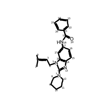 CC(C)=CCn1c(N2C[CH]CCC2)nc2ccc(NC(=O)c3ccccc3)cc21